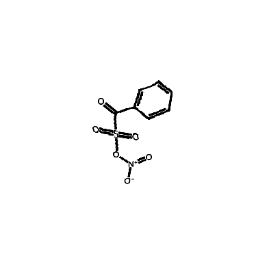 O=C(c1ccccc1)S(=O)(=O)O[N+](=O)[O-]